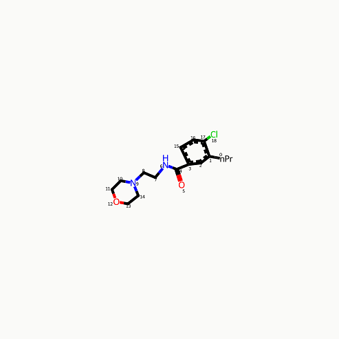 CCCc1cc(C(=O)NCCN2CCOCC2)ccc1Cl